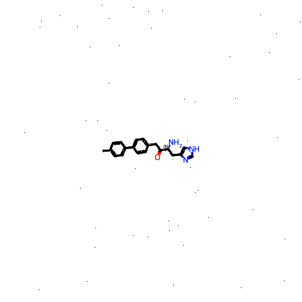 Cc1ccc(-c2ccc(CC(=O)[C@@H](N)Cc3c[nH]cn3)cc2)cc1